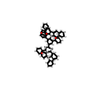 c1ccc(-c2cccc(-c3cc(-c4nc(-c5ccccc5)nc(-c5cccc6c7ccccc7n(-c7ccccc7)c56)n4)cc(-c4ccccc4)c3-n3c4cc5ccccc5cc4c4ccc5ccccc5c43)c2)cc1